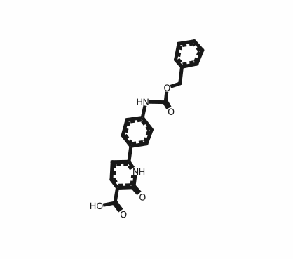 O=C(Nc1ccc(-c2ccc(C(=O)O)c(=O)[nH]2)cc1)OCc1ccccc1